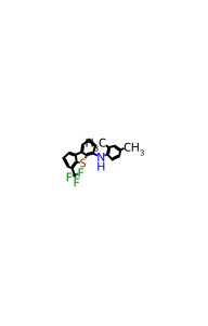 Cc1ccc(Nc2cccc3c2sc2c(C(F)(F)F)cccc23)c(C)c1